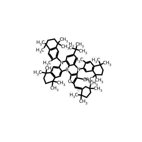 Cc1cc2c(cc1N1c3cc4c(cc3B3c5oc(/C=C6\CC(C)(C)CCC6(C)C)c(C)c5N(c5cc6c(cc5C)C(C)(C)CCC6(C)C)c5cc(C(C)(C)C)cc1c53)C(C)(C)CCC4(C)C)C(C)(C)CCC2(C)C